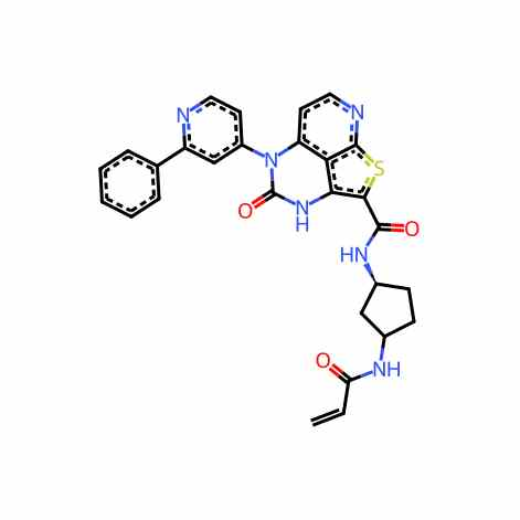 C=CC(=O)NC1CC[C@H](NC(=O)c2sc3nccc4c3c2NC(=O)N4c2ccnc(-c3ccccc3)c2)C1